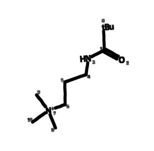 CC(C)(C)C(=O)NCCC[N+](C)(C)C